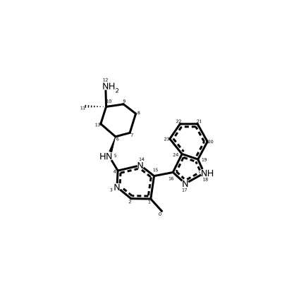 Cc1cnc(N[C@@H]2CCC[C@](C)(N)C2)nc1-c1n[nH]c2ccccc12